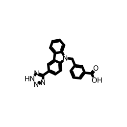 O=C(O)c1cccc(Cn2c3ccccc3c3cc(-c4nn[nH]n4)ccc32)c1